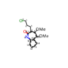 COc1c(CCCCl)c(=O)nc2ccccc2c1OC